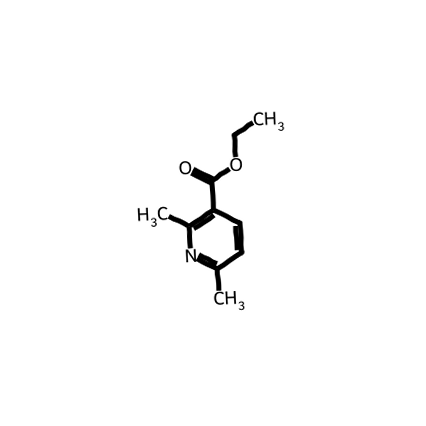 CCOC(=O)c1ccc(C)nc1C